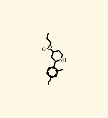 CCC[S+]([O-])C1CCNC(c2ccc(F)cc2C)C1